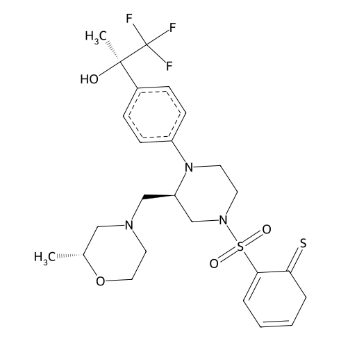 C[C@@H]1CN(C[C@@H]2CN(S(=O)(=O)C3=CC=CCC3=S)CCN2c2ccc([C@@](C)(O)C(F)(F)F)cc2)CCO1